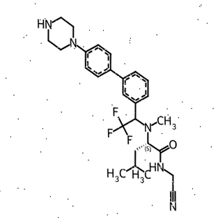 CC(C)C[C@@H](C(=O)NCC#N)N(C)C(c1cccc(-c2ccc(N3CCNCC3)cc2)c1)C(F)(F)F